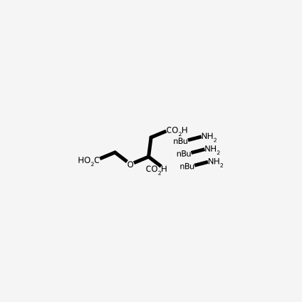 CCCCN.CCCCN.CCCCN.O=C(O)COC(CC(=O)O)C(=O)O